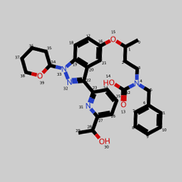 CC(CCN(Cc1ccccc1)C(=O)O)Oc1ccc2c(c1)c(-c1cccc(C(C)O)n1)nn2C1CCCCO1